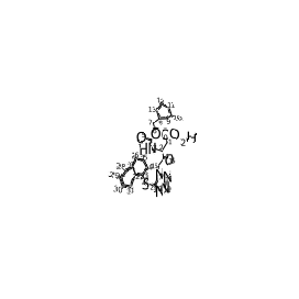 O=C(O)CC(NC(=O)OCc1ccccc1)C(=O)Cn1nnnc1Sc1cccc2ccccc12